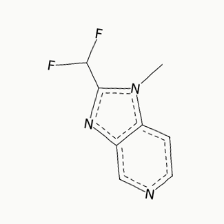 Cn1c(C(F)F)nc2cnccc21